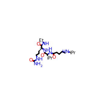 CCNC(=O)[C@H](CCCNC(N)=O)NC(=O)C(NC(=O)CCCCNC(C)C)C(C)C